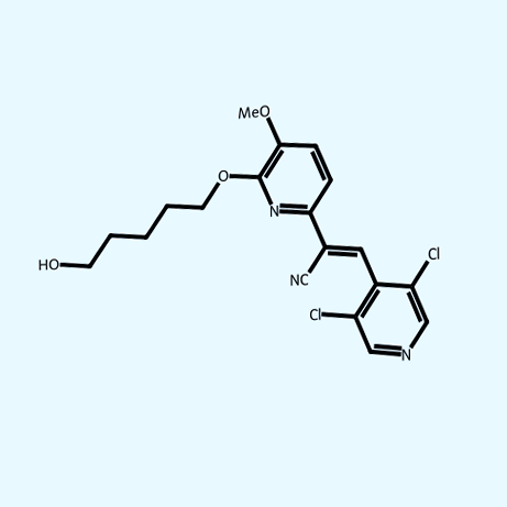 COc1ccc(C(C#N)=Cc2c(Cl)cncc2Cl)nc1OCCCCCO